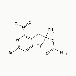 CC(C)(Cc1ccc(Br)nc1[N+](=O)[O-])OC(N)=O